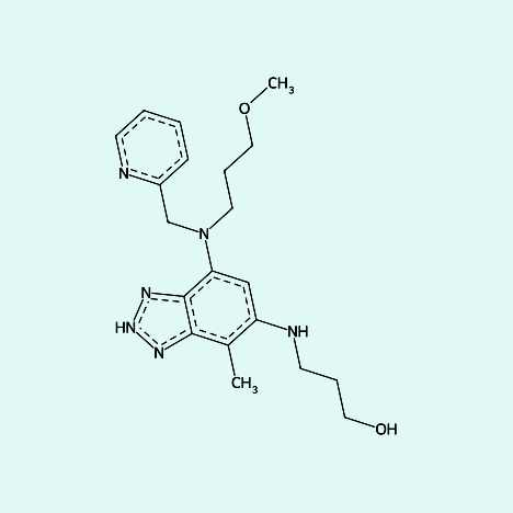 COCCCN(Cc1ccccn1)c1cc(NCCCO)c(C)c2n[nH]nc12